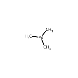 [CH3][Pd]([CH3])[CH3]